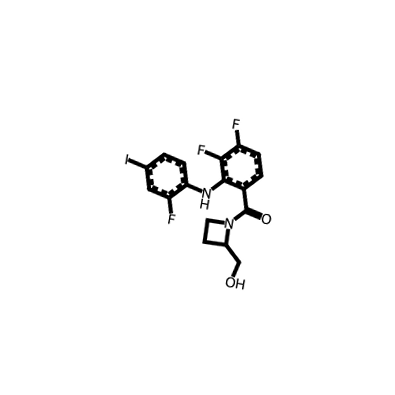 O=C(c1ccc(F)c(F)c1Nc1ccc(I)cc1F)N1CCC1CO